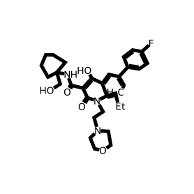 C\C=C(/C=c1/c(O)c(C(=O)NC2(CO)CCCCC2)c(=O)n(CCN2CCOCC2)/c1=C\CC)c1ccc(F)cc1